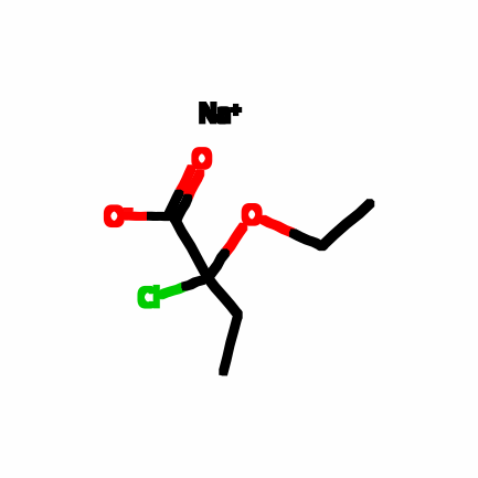 CCOC(Cl)(CC)C(=O)[O-].[Na+]